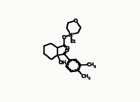 CC[N+]1(OC(=O)C2CCCCC2(O)C(=O)c2ccc(C)c(C)c2)CCOCC1